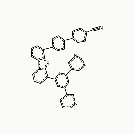 N#Cc1ccc(-c2ccc(-c3cccc4c3sc3c(-c5cc(-c6cccnc6)cc(-c6cccnc6)c5)cccc34)cc2)cc1